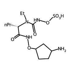 CCC[C@@H](C(=O)NOC1CCC(N)C1)N(CC)C(=O)NOS(=O)(=O)O